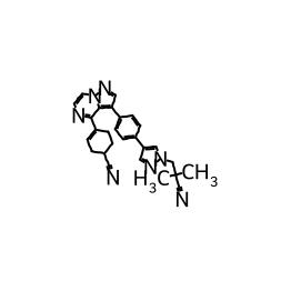 CC(C)(C#N)Cn1cc(-c2ccc(-c3cnn4ccnc(C5=CCC(C#N)CC5)c34)cc2)cn1